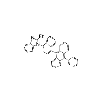 CCc1nc2ccccc2n1-c1ccc(-c2c3ccccc3c(-c3ccccc3)c3ccccc23)c2ccccc12